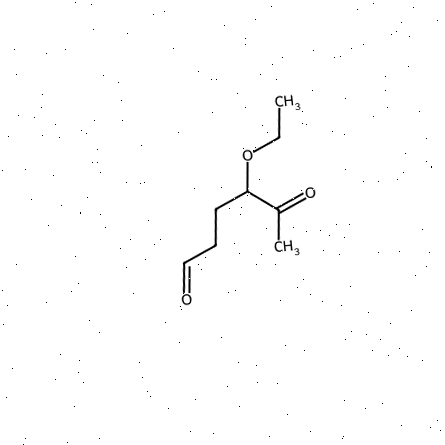 CCOC(CCC=O)C(C)=O